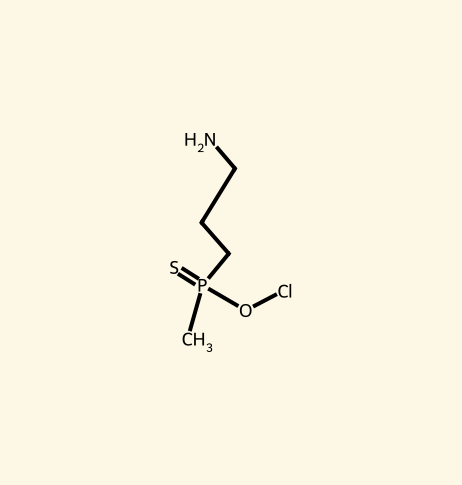 CP(=S)(CCCN)OCl